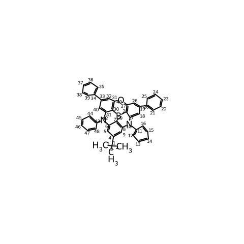 CC(C)(C)c1cc2c3c(c1)N(c1ccccc1)c1cc(-c4ccccc4)cc4c1B3c1c(cc(-c3ccccc3)cc1N2c1ccccc1)O4